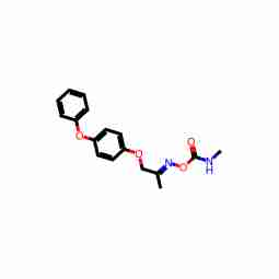 CNC(=O)ON=C(C)COc1ccc(Oc2ccccc2)cc1